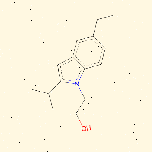 CCc1ccc2c(c1)cc(C(C)C)n2CCO